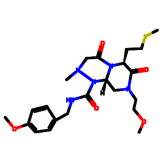 COCCN1C[C@H]2N(C(=O)CN(C)N2C(=O)NCc2ccc(OC)cc2)[C@@H](CCSC)C1=O